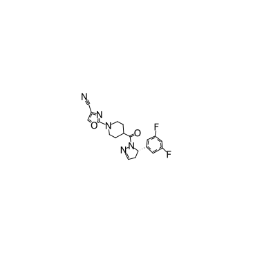 N#Cc1coc(N2CCC(C(=O)N3N=CC[C@H]3c3cc(F)cc(F)c3)CC2)n1